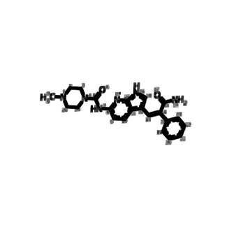 CN1CCN(C(=O)Nc2ccc3c(C=C(C(N)=O)c4ccccc4)c[nH]c3n2)CC1